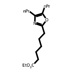 CCCc1nc(CCCCCC(=O)OCC)oc1CCC